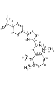 CC(=O)c1ccc(-c2csc(OCC3=C(N(C)N)C=CC=C(C)C3C)n2)cc1